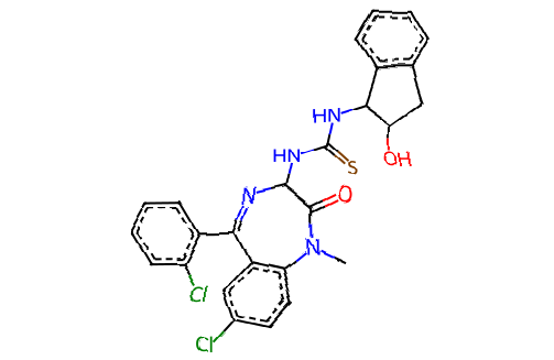 CN1C(=O)C(NC(=S)NC2c3ccccc3CC2O)N=C(c2ccccc2Cl)c2cc(Cl)ccc21